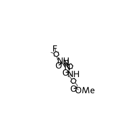 COC(=O)Cc1ccc(CNC(=O)c2cccc3nc(C(=O)NCc4ccc(F)c(C)c4)cn23)cc1